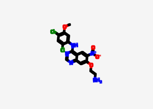 COc1cc(Nc2ncnc3cc(OCCN)c([N+](=O)[O-])cc23)c(Cl)cc1Cl